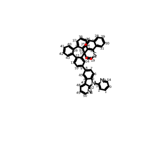 c1ccc(-n2c3ccc(-c4ccc5c(c4)C4(c6ccccc6Sc6c4ccc4ccccc64)c4ccccc4-c4ccccc4-5)cc3c3cccnc32)nc1